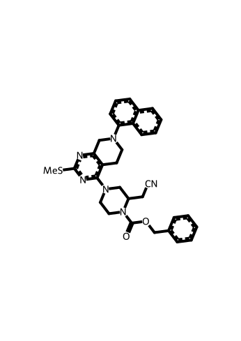 CSc1nc2c(c(N3CCN(C(=O)OCc4ccccc4)C(CC#N)C3)n1)CCN(c1cccc3ccccc13)C2